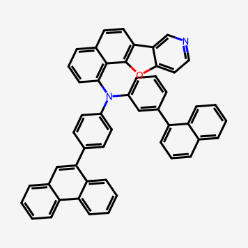 c1cc(-c2cccc3ccccc23)cc(N(c2ccc(-c3cc4ccccc4c4ccccc34)cc2)c2cccc3ccc4c5cnccc5oc4c23)c1